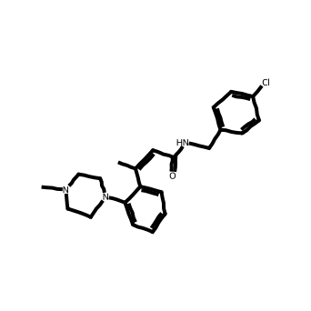 CC(=CC(=O)NCc1ccc(Cl)cc1)c1ccccc1N1CCN(C)CC1